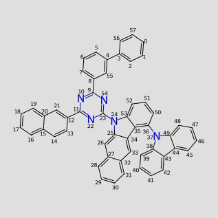 c1ccc(-c2cccc(-c3nc(-c4ccc5ccccc5c4)nc(-n4c5cc6ccccc6cc5c5c(-n6c7ccccc7c7ccccc76)cccc54)n3)c2)cc1